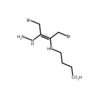 NN/C(CBr)=C(/CBr)NCCCC(=O)O